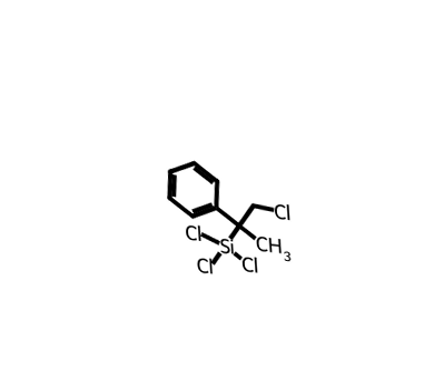 CC(CCl)(c1ccccc1)[Si](Cl)(Cl)Cl